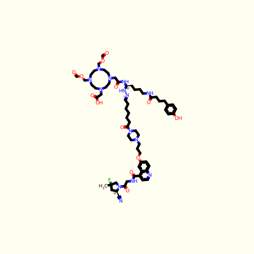 CC1(F)C[C@H](C#N)N(C(=O)CNC(=O)c2ccnc3ccc(OCCCN4CCN(C(=O)CCCCC/C=N/N[C@H](CCCCNC(=O)CCCc5ccc(O)cc5)NC(=O)CN5CCN(COC=O)CCN(COC=O)CCN(CC(=O)O)CC5)CC4)cc23)C1